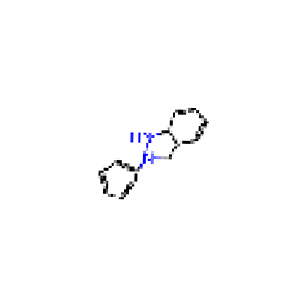 C1=CC2CN(c3ccccc3)NC2C=C1